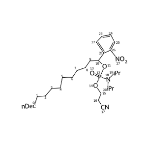 CCCCCCCCCCCCCCCCCCCC(OP(=O)(OCCC#N)N(C(C)C)C(C)C)c1ccccc1[N+](=O)[O-]